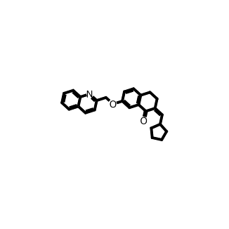 O=C1C(=CC2CCCC2)CCc2ccc(OCc3ccc4ccccc4n3)cc21